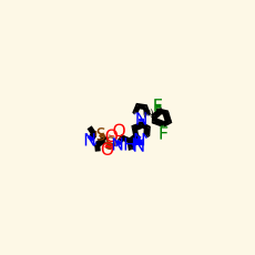 Cc1nc(C)c(S(=O)(=O)NC(=O)c2cnn3ccc(N4CCC[C@@H]4c4cc(F)ccc4F)cc23)s1